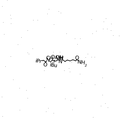 CC[C@H](C)[C@@H]([C@@H](CC(O)NCCCCCCC(N)=O)OC)N(C)C(=O)CC(C)C